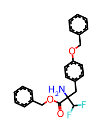 NC(Cc1ccc(OCc2ccccc2)cc1)(C(=O)OCc1ccccc1)C(F)F